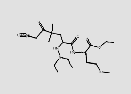 [C-]#[N+]CC(=O)C(C)(C)CC(NN(CC)CC)C(=O)NC(CCSC)C(=O)OCC